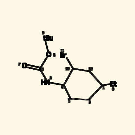 CCC1C[CH]C(NC(=O)OC(C)(C)C)C(Br)C1